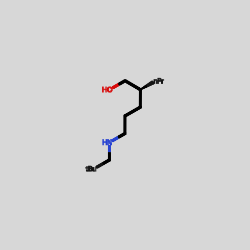 CCC[C@H](CO)CCCNCC(C)(C)C